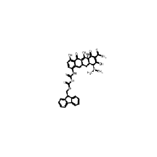 CN(C)[C@@H]1C(O)=C(C(N)=O)C(=O)[C@@]2(O)C(O)=C3C(=O)c4c(O)ccc(NC(=S)NC(=O)OCC5c6ccccc6-c6ccccc65)c4CC3CC12